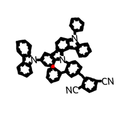 N#Cc1ccc(C#N)c(-c2ccc(-n3c4ccc(-n5c6ccccc6c6ccccc65)cc4c4ccc5c(c6ccccc6n5-c5ccccc5)c43)c(-c3ccccc3)c2)c1